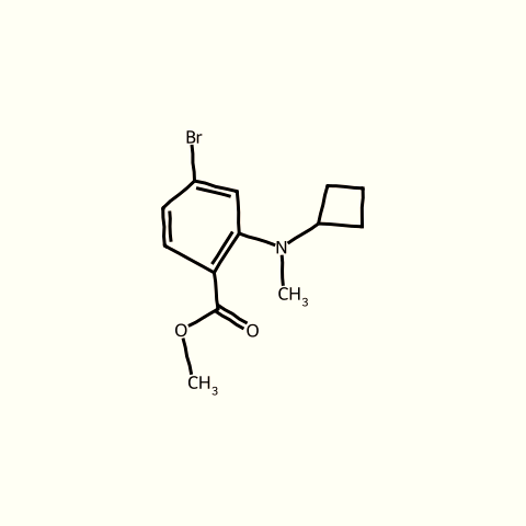 COC(=O)c1ccc(Br)cc1N(C)C1CCC1